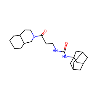 O=C(NCCC(=O)N1CCC2CCCCC2C1)NC12CC3CC(CC(C3)C1)C2